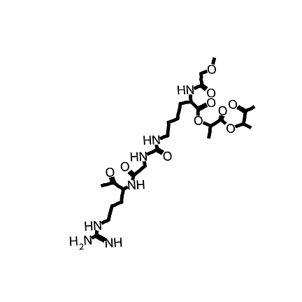 COCC(=O)NC(CCCCNC(=O)NCC(=O)NC(CCCNC(=N)N)C(C)=O)C(=O)OC(C)C(=O)OC(C)C(C)=O